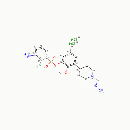 COc1c(OS(=O)(=O)c2cccc(N)c2Cl)cc(C)cc1C1CCN(C=NN)CC1.Cl.Cl